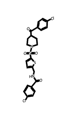 O=C(NCc1ccc(S(=O)(=O)N2CCC(C(=O)c3ccc(Cl)cc3)CC2)s1)c1ccc(Cl)cc1